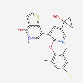 Cc1cc(F)cc(C)c1Oc1ncc(C2(O)CC2)cc1-c1cn(C)c(=O)c2ccsc12